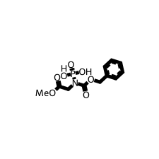 COC(=O)CN(C(=O)OCc1ccccc1)P(=O)(O)O